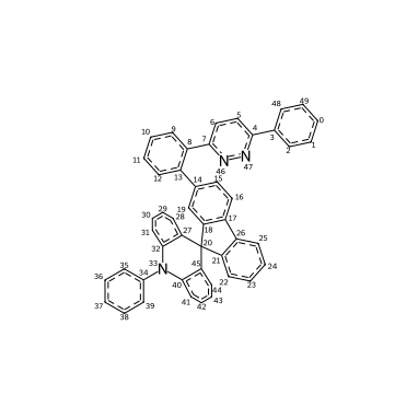 c1ccc(-c2ccc(-c3ccccc3-c3ccc4c(c3)C3(c5ccccc5-4)c4ccccc4N(c4ccccc4)c4ccccc43)nn2)cc1